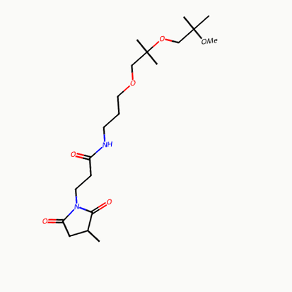 COC(C)(C)COC(C)(C)COCCCNC(=O)CCN1C(=O)CC(C)C1=O